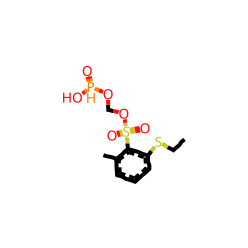 CCSc1cccc(C)c1S(=O)(=O)OCO[PH](=O)O